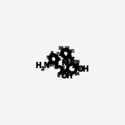 CC(O)(CSc1ccccc1N)C1CCC(C)(O)C(Sc2ccccc2N)C1